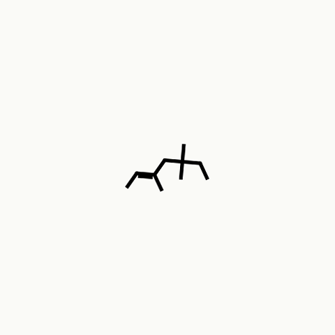 C/C=C(\C)CC(C)(C)CC